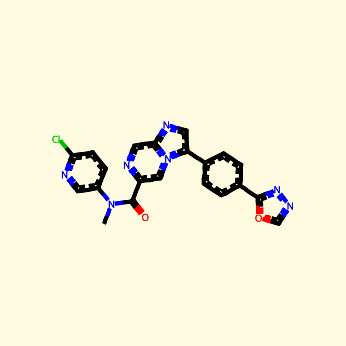 CN(C(=O)c1cn2c(-c3ccc(-c4nnco4)cc3)cnc2cn1)c1ccc(Cl)nc1